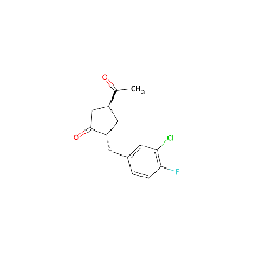 CC(=O)[C@@H]1CC(=O)[C@@H](Cc2ccc(F)c(Cl)c2)C1